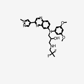 COc1cc(OC)cc(N(CC(O)CNCC(C)(F)F)c2ccc3ncc(-c4cnn(C)c4)nc3c2)c1